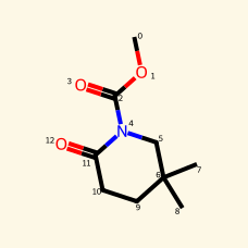 COC(=O)N1CC(C)(C)CCC1=O